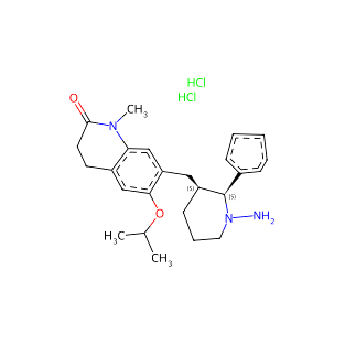 CC(C)Oc1cc2c(cc1C[C@@H]1CCCN(N)[C@@H]1c1ccccc1)N(C)C(=O)CC2.Cl.Cl